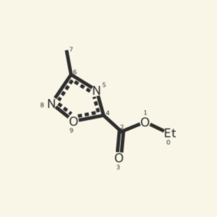 CCOC(=O)c1nc(C)no1